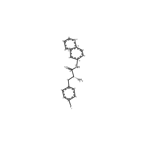 N[C@H](Cc1ccc(F)cc1)C(=O)Nc1ccc2ncccc2c1